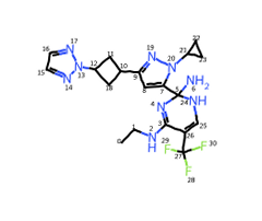 CCNC1=NC(N)(c2cc(C3CC(n4nccn4)C3)nn2C2CC2)NC=C1C(F)(F)F